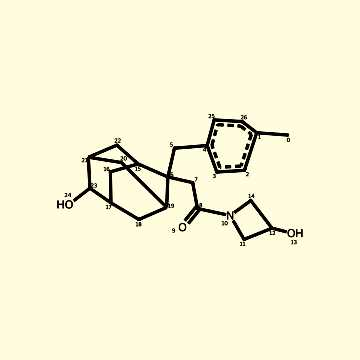 Cc1ccc(CC2(CC(=O)N3CC(O)C3)C3CC4CC2CC(C3)C4O)cc1